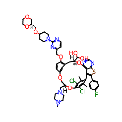 Cc1c(Cl)c2c(Cl)c(C)c1-c1c(-c3ccc(F)cc3)sc3ncnc(c13)O[C@@H](C(O)O)Cc1cc(ccc1OCc1ccnc(N3CCC(OC[C@H]4COCCO4)CC3)n1)OC[C@@H](CN1CCN(C)CC1)O2